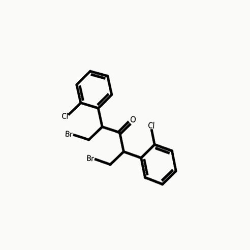 O=C(C(CBr)c1ccccc1Cl)C(CBr)c1ccccc1Cl